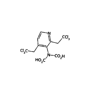 O=C(O)N(C(=O)O)c1c(CC(Cl)(Cl)Cl)ccnc1CC(Cl)(Cl)Cl